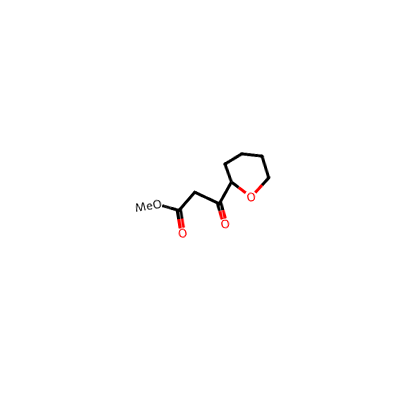 COC(=O)CC(=O)C1CCCCO1